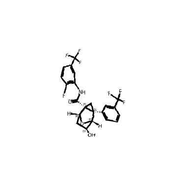 O=C(Nc1cc(C(F)(F)F)ccc1F)[C@]12C[C@@]1(c1cccc(C(F)(F)F)c1)[C@H]1O[C@@H]2C[C@@H]1O